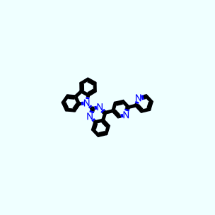 c1ccc(-c2ccc(-c3nc(-n4c5ccccc5c5ccccc54)nc4ccccc34)cn2)nc1